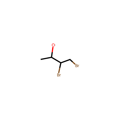 CC([O])C(Br)CBr